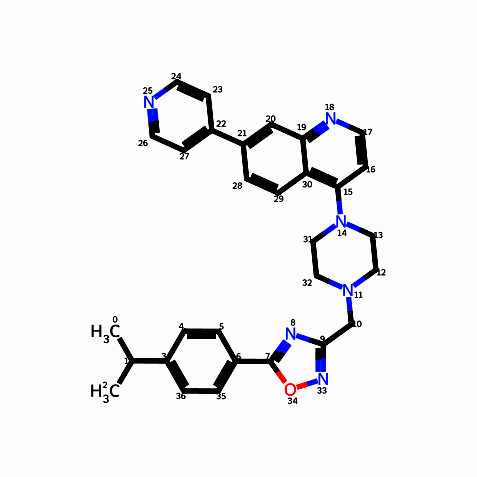 CC(C)c1ccc(-c2nc(CN3CCN(c4ccnc5cc(-c6ccncc6)ccc45)CC3)no2)cc1